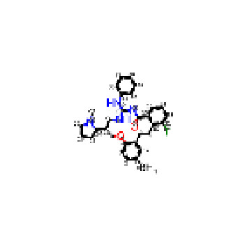 Bc1ccc(OC)c(CCc2c(F)cccc2C(=O)/N=C(\NCCC2CCCN2C)Nc2ccccc2)c1